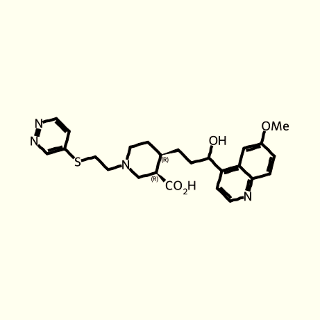 COc1ccc2nccc(C(O)CC[C@@H]3CCN(CCSc4ccnnc4)C[C@@H]3C(=O)O)c2c1